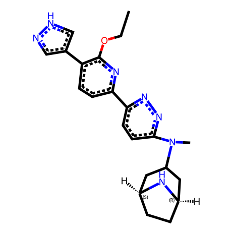 CCOc1nc(-c2ccc(N(C)C3C[C@H]4CC[C@@H](C3)N4)nn2)ccc1-c1cn[nH]c1